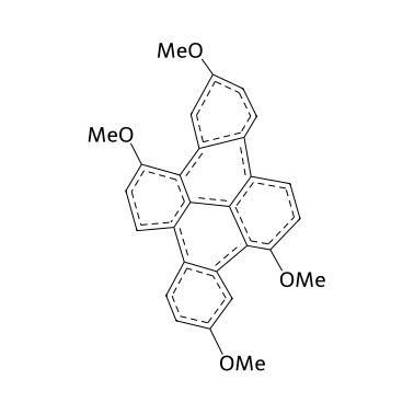 COc1ccc2c(c1)c1c(OC)ccc3c4ccc(OC)cc4c4c(OC)ccc2c4c31